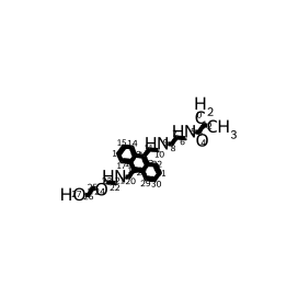 C=C(C)C(=O)NCCCNCCc1c2ccccc2c(CNCCOCCO)c2ccccc12